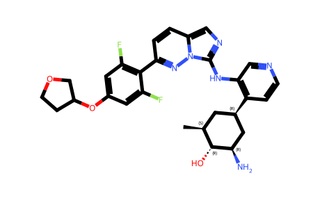 C[C@H]1C[C@@H](c2ccncc2Nc2ncc3ccc(-c4c(F)cc(OC5CCOC5)cc4F)nn23)C[C@@H](N)[C@@H]1O